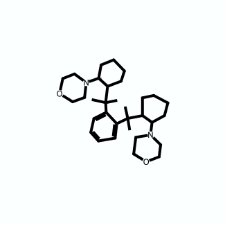 CC(C)(c1ccccc1C(C)(C)C1CCCC[C]1N1CCOCC1)C1CCCC[C]1N1CCOCC1